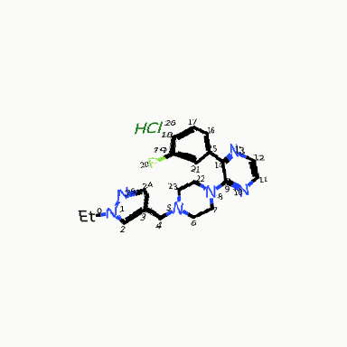 CCn1cc(CN2CCN(c3nccnc3-c3cccc(F)c3)CC2)cn1.Cl